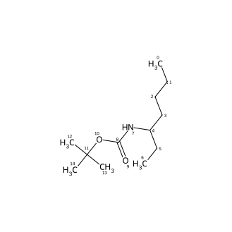 C[CH]CCC(CC)NC(=O)OC(C)(C)C